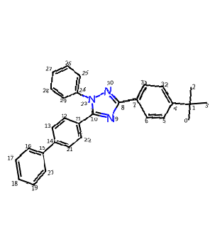 CC(C)(C)c1ccc(-c2nc(-c3ccc(-c4ccccc4)cc3)n(-c3ccccc3)n2)cc1